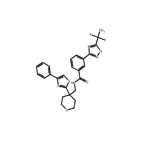 CC(F)(F)c1nc(-c2cccc(C(=O)NCC3(c4nc(-c5ccccc5)cs4)CCOCC3)c2)no1